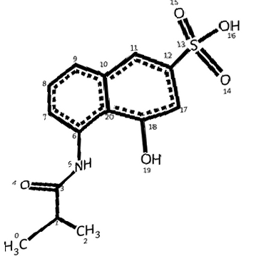 CC(C)C(=O)Nc1cccc2cc(S(=O)(=O)O)cc(O)c12